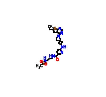 CS(=O)(=O)NCCCNC(=O)c1ccc(NC2CC3(CCN(c4ncnc5sc(CC(F)(F)F)cc45)C3)C2)nc1